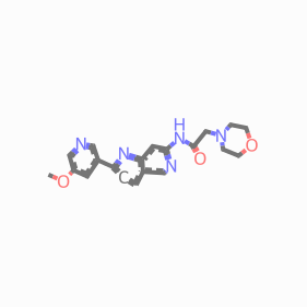 COc1cncc(-c2ccc3cnc(NC(=O)CN4CCOCC4)cc3n2)c1